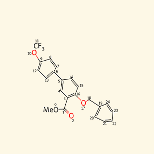 COC(=O)c1cc(-c2ccc(OC(F)(F)F)cc2)ccc1OCc1ccccc1